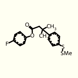 CSSc1ccc(C(C)(C)CC(=O)Oc2ccc(F)cc2)cc1